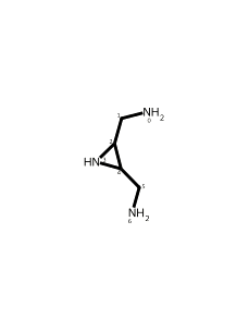 NCC1NC1CN